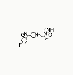 CC(C)C(CCN1CCC(c2noc3cc(F)ccc23)CC1)N1CCNC1=O